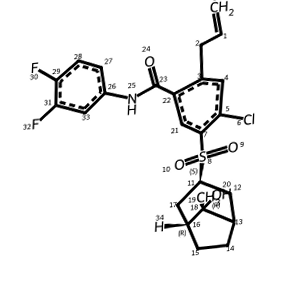 C=CCc1cc(Cl)c(S(=O)(=O)[C@H]2CC3CC[C@H](C2)[C@]3(C)O)cc1C(=O)Nc1ccc(F)c(F)c1